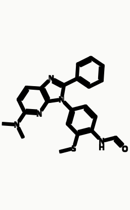 CSc1cc(-n2c(-c3ccccc3)nc3ccc(N(C)C)nc32)ccc1NC=O